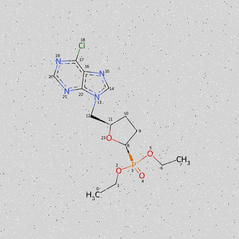 CCOP(=O)(OCC)[C@@H]1CC[C@H](Cn2cnc3c(Cl)ncnc32)O1